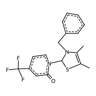 CC1=C(C)N(Cc2ccccc2)C(n2ccc(C(F)(F)F)cc2=O)S1